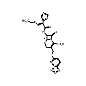 O=C(O)CON=C(C(=O)NC1C(=O)N2C(C(=O)O)=C(CSc3ccc4nnnn4n3)CS[C@@H]12)c1cscn1